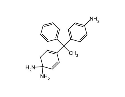 CC(C1=CCC(N)(N)C=C1)(c1ccccc1)c1ccc(N)cc1